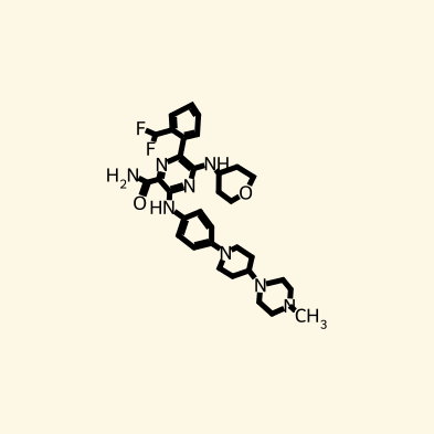 CN1CCN(C2CCN(c3ccc(Nc4nc(NC5CCOCC5)c(-c5ccccc5C(F)F)nc4C(N)=O)cc3)CC2)CC1